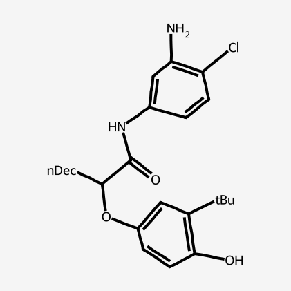 CCCCCCCCCCC(Oc1ccc(O)c(C(C)(C)C)c1)C(=O)Nc1ccc(Cl)c(N)c1